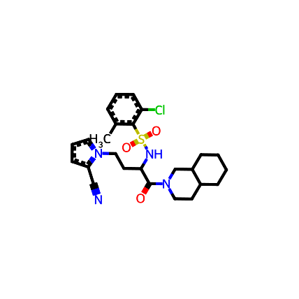 Cc1cccc(Cl)c1S(=O)(=O)NC(CCn1cccc1C#N)C(=O)N1CCC2CCCCC2C1